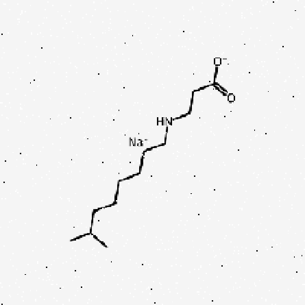 CC(C)CCCCCCNCCC(=O)[O-].[Na+]